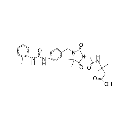 Cc1ccccc1NC(=O)Nc1ccc(CN2C(=O)N(CC(=O)NC(C)(C)CC(=O)O)C(=O)C2(C)C)cc1